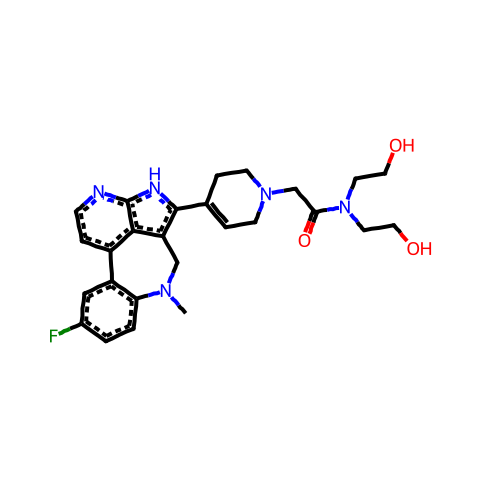 CN1Cc2c(C3=CCN(CC(=O)N(CCO)CCO)CC3)[nH]c3nccc(c23)-c2cc(F)ccc21